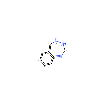 C1=c2ccccc2=NCNN1